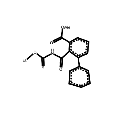 CCOC(=S)NC(=O)c1c(C(=O)OC)cccc1-c1ccccc1